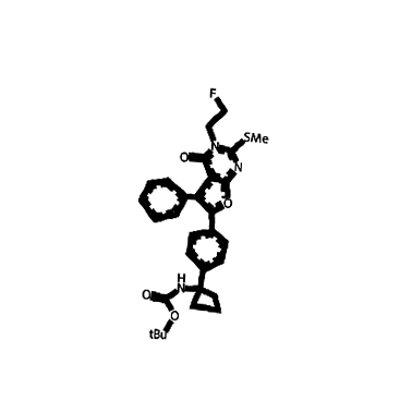 CSc1nc2oc(-c3ccc(C4(NC(=O)OC(C)(C)C)CCC4)cc3)c(-c3ccccc3)c2c(=O)n1CCF